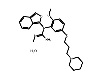 CN=C(N)N(c1cc(SCCCN2CCCCC2)ccc1OC)c1occ2ccccc12.O